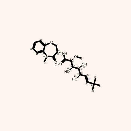 CO[C@@H](C(=O)N[C@H]1CSc2ccccc2N(C)C1=O)[C@H](O)[C@@H](O)[C@H](O)/C=C/C(C)(C)C